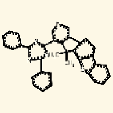 CC1(C)c2c(-c3nc(-c4ccccc4)nc(-c4ccccc4)n3)cncc2-c2ccc3c(oc4ccccc43)c21